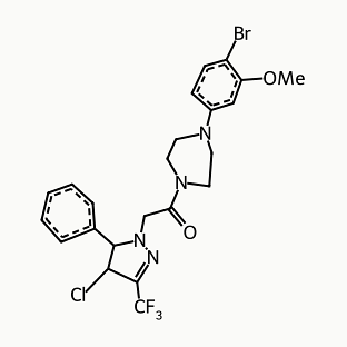 COc1cc(N2CCN(C(=O)CN3N=C(C(F)(F)F)C(Cl)C3c3ccccc3)CC2)ccc1Br